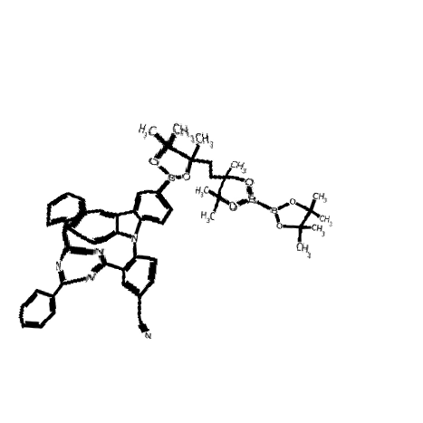 CC1(C)OB(B2OC(C)(C)C(C)(CCC3(C)OB(c4ccc5c(c4)c4ccccc4n5-c4ccc(C#N)cc4-c4nc(-c5ccccc5)nc(-c5ccccc5)n4)OC3(C)C)O2)OC1(C)C